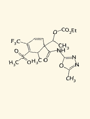 CCOC(=O)OC(C)C1(C(=O)Nc2nnc(C)o2)C=CC(C(F)(F)F)=C(S(C)(=O)=O)C1C